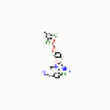 Cc1cc(Cl)c(OCCOc2ccc(CC(CN)C(=O)N(Cc3cc(CCCN(C)C)ccc3Cl)C3CC3)cc2)c(Cl)c1